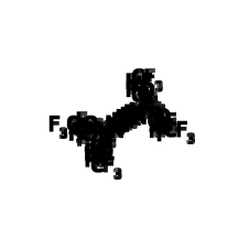 Fc1c(F)c(C(F)(F)F)c(F)c2c1Oc1cc(N(c3cnc(C(F)(F)C(F)(F)C(F)(F)C(F)(F)c4ncc(N(c5ccc6c(c5)Oc5c(F)c(F)c(C(F)(F)F)c(F)c5O6)c5ccc6c(c5)Oc5c(F)c(F)c(C(F)(F)F)c(F)c5O6)cn4)nc3)c3ccc4c(c3)Oc3c(F)c(F)c(C(F)(F)F)c(F)c3O4)ccc1O2